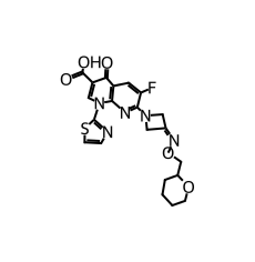 O=C(O)c1cn(-c2nccs2)c2nc(N3CC(=NOCC4CCCCO4)C3)c(F)cc2c1=O